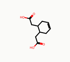 O=C(O)CC1CC=CCC1CC(=O)O